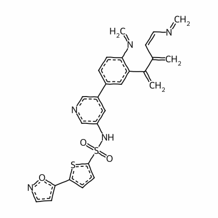 C=N/C=C\C(=C)C(=C)c1cc(-c2cncc(NS(=O)(=O)c3ccc(-c4ccno4)s3)c2)ccc1N=C